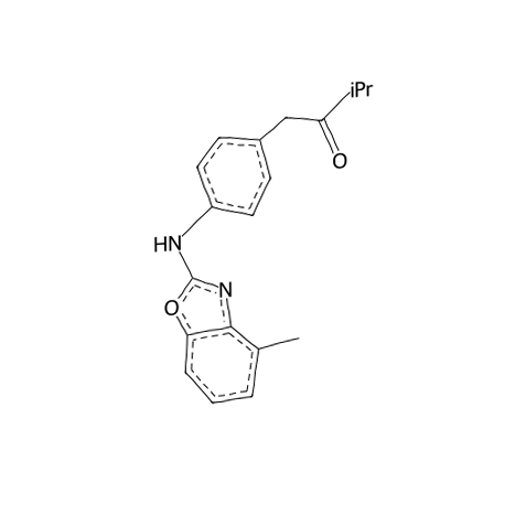 Cc1cccc2oc(Nc3ccc(CC(=O)C(C)C)cc3)nc12